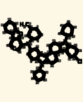 Cc1cccc(N(c2ccc3c(c2)c2c4ccc5c(c4ccc2n3-c2ccccc2)c2cc(Cl)ccc2n5-c2ccccc2)c2cccc3c2oc2ccccc23)c1